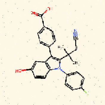 CC(C)(CC#N)c1c(-c2ccc(C(=O)O)cc2)c2cc(O)ccc2n1-c1ccc(F)cc1